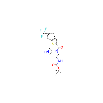 CC(C)(C)OC(=O)NCCN(C(=O)c1cc2ccc(C(F)(F)F)cc2s1)C1CNC1